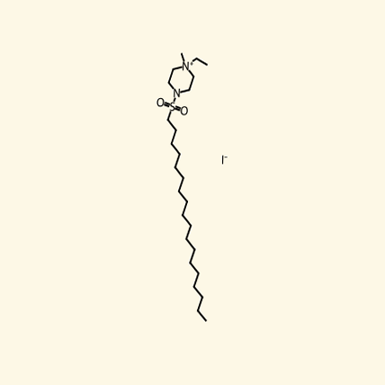 CCCCCCCCCCCCCCCCCCS(=O)(=O)N1CC[N+](C)(CC)CC1.[I-]